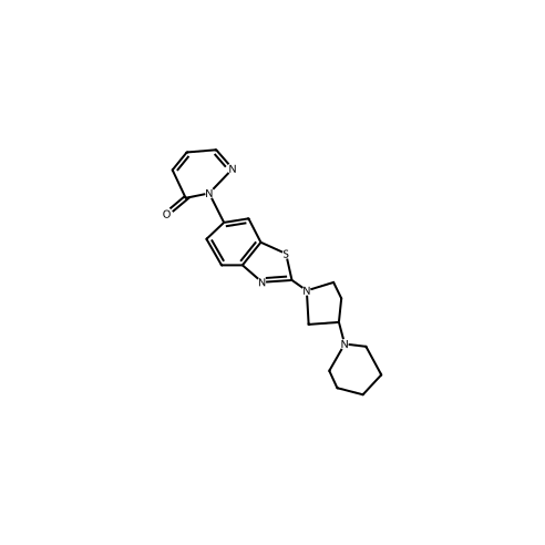 O=c1cccnn1-c1ccc2nc(N3CCC(N4CCCCC4)C3)sc2c1